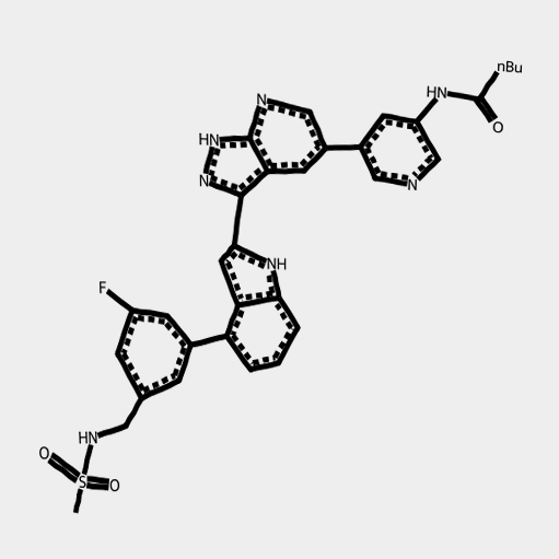 CCCCC(=O)Nc1cncc(-c2cnc3[nH]nc(-c4cc5c(-c6cc(F)cc(CNS(C)(=O)=O)c6)cccc5[nH]4)c3c2)c1